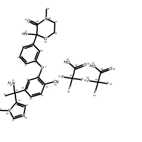 CCCC1(c2cccc(Oc3cc(C(C)(N)c4cncn4C)ccc3C#N)c2)OCCN(C)C1=O.O=C(O)C(F)(F)F.O=C(O)C(F)(F)F